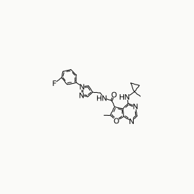 Cc1oc2ncnc(NC3(C)CC3)c2c1C(=O)NCc1cnn(-c2cccc(F)c2)c1